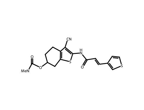 CNC(=O)OC1CCc2c(sc(NC(=O)C=Cc3ccsc3)c2C#N)C1